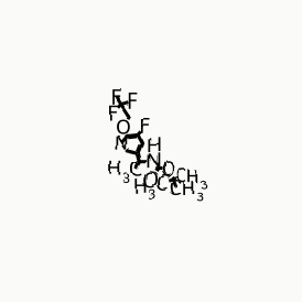 CC(NC(=O)OC(C)(C)C)c1cnc(OCC(F)(F)F)c(F)c1